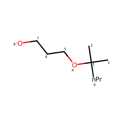 CCCC(C)(C)OCCC[O]